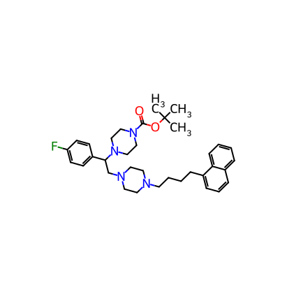 CC(C)(C)OC(=O)N1CCN(C(CN2CCN(CCCCc3cccc4ccccc34)CC2)c2ccc(F)cc2)CC1